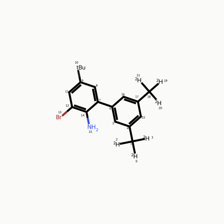 [2H]C([2H])([2H])c1cc(-c2cc(C(C)(C)C)cc(Br)c2N)cc(C([2H])([2H])[2H])c1